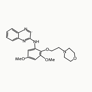 COc1cc(Nc2[c]nc3ccccc3n2)c(OCCN2CCOCC2)c(OC)c1